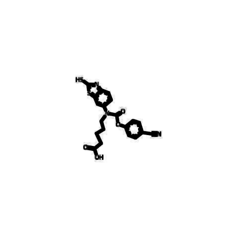 N#Cc1ccc(OC(=O)N(CCCCC(=O)O)c2ccc3nc(S)sc3c2)cc1